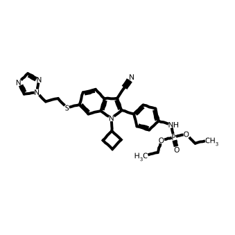 CCOP(=O)(Nc1ccc(-c2c(C#N)c3ccc(SCCn4cncn4)cc3n2C2CCC2)cc1)OCC